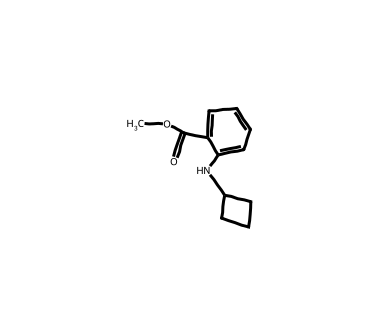 COC(=O)c1ccccc1NC1CCC1